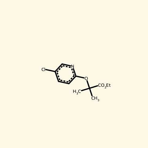 CCOC(=O)C(C)(C)Oc1ccc(Cl)cn1